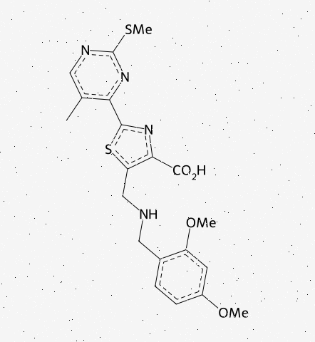 COc1ccc(CNCc2sc(-c3nc(SC)ncc3C)nc2C(=O)O)c(OC)c1